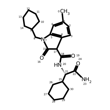 Cc1ccc2c(c1)N(CC1CCCCC1)C(=O)C2C(=O)N[C@H](C(N)=O)C1CCCCC1